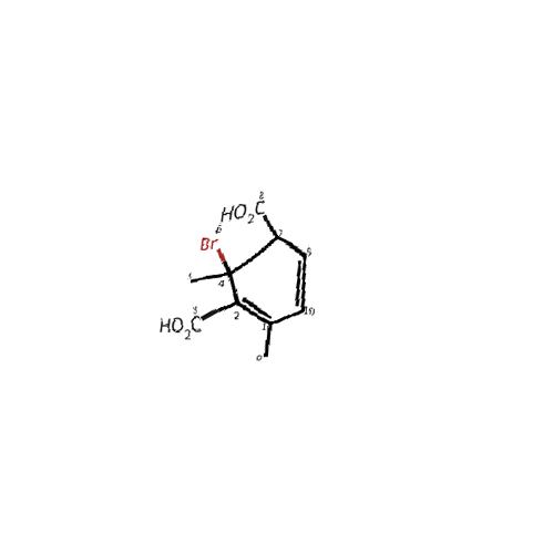 CC1=C(C(=O)O)C(C)(Br)C(C(=O)O)C=C1